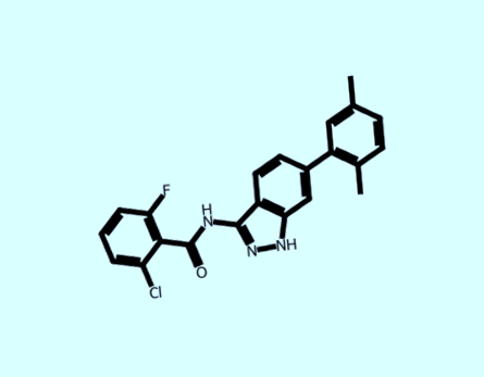 Cc1ccc(C)c(-c2ccc3c(NC(=O)c4c(F)cccc4Cl)n[nH]c3c2)c1